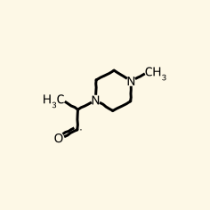 CC([C]=O)N1CCN(C)CC1